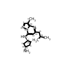 Cc1cnn2c(N[C@H]3CC[C@H](N)C3)cc(CC(C)C)nc12